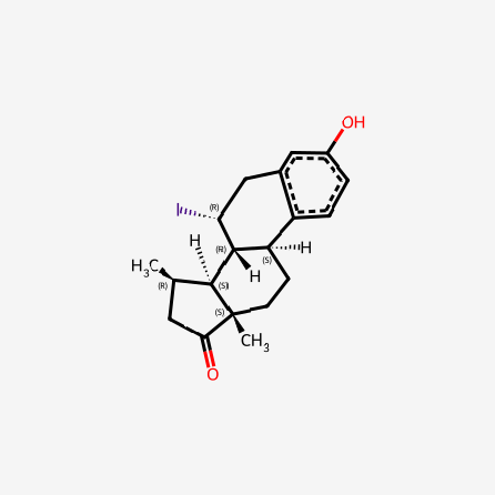 C[C@@H]1CC(=O)[C@@]2(C)CC[C@@H]3c4ccc(O)cc4C[C@@H](I)[C@H]3[C@H]12